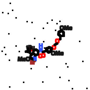 COc1ccc(COCCOc2ccc(C(=O)NC(CCO[Si](C)(C)C(C)(C)C)C(=O)c3ccc(OC)c(Br)n3)cc2OC)cc1